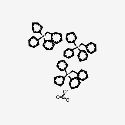 [O-]B([O-])[O-].c1ccc(C[P+](c2ccccc2)(c2ccccc2)c2ccccc2)cc1.c1ccc(C[P+](c2ccccc2)(c2ccccc2)c2ccccc2)cc1.c1ccc(C[P+](c2ccccc2)(c2ccccc2)c2ccccc2)cc1